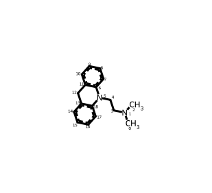 CN(C)CCN1c2ccccc2Cc2ccccc21